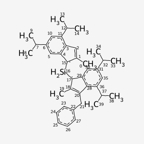 CC1=Cc2c(cc(C(C)C)cc2C(C)C)[C]1[SiH2][C]1C(C)=C(Cc2ccccc2)c2c1cc(C(C)C)cc2C(C)C